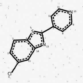 Clc1ccc2sc(-c3ccncc3)nc2c1